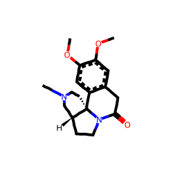 COc1cc2c(cc1OC)[C@]13CCN(C)C[C@H]1CCN3C(=O)C2